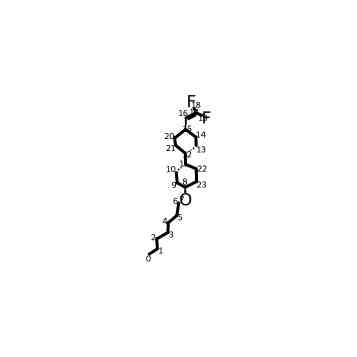 CCCCCCCO[C@H]1CC[C@H]([C@H]2CC[C@H](C=C(F)F)CC2)CC1